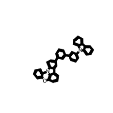 c1cc(-c2cccc(-n3c4ccccc4c4ccccc43)c2)cc(-c2ccc3c(c2)c2cccc4c2n3-c2ccccc2O4)c1